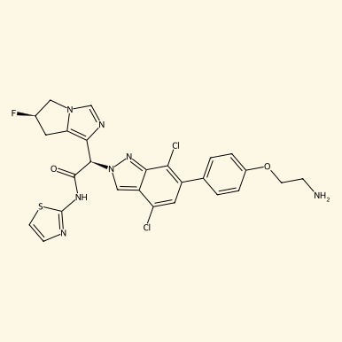 NCCOc1ccc(-c2cc(Cl)c3cn([C@@H](C(=O)Nc4nccs4)c4ncn5c4C[C@@H](F)C5)nc3c2Cl)cc1